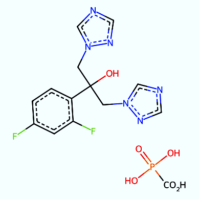 O=C(O)P(=O)(O)O.OC(Cn1cncn1)(Cn1cncn1)c1ccc(F)cc1F